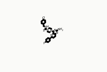 Nc1nc(N2CCN(C(=S)NCc3ccc(Cl)cc3)CC2)c2nc(-c3ccc(F)cc3)ccc2n1